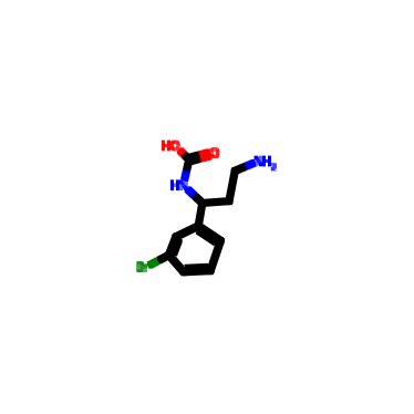 NCCC(NC(=O)O)c1cccc(Br)c1